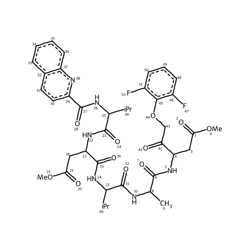 COC(=O)CC(NC(=O)C(C)NC(=O)C(NC(=O)C(CC(=O)OC)NC(=O)C(NC(=O)c1ccc2ccccc2n1)C(C)C)C(C)C)C(=O)COc1c(F)cccc1F